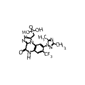 Cc1nc(C)n(-c2cc3c(cc2C(F)(F)F)[nH]c(=O)c2nnc(CP(=O)(O)O)n23)n1